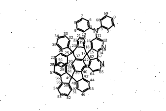 c1ccc(N(c2ccccc2)c2cnc3c(c2)C2(c4ccccc4C(c4ccccc4)(c4ccccc4)c4cc5c(cc42)-c2ccccc2C52c4ccccc4-c4ccccc42)c2cccnc2-3)cc1